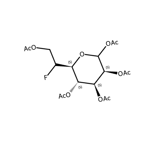 CC(=O)OCC(F)[C@H]1OC(OC(C)=O)[C@@H](OC(C)=O)[C@@H](OC(C)=O)[C@@H]1OC(C)=O